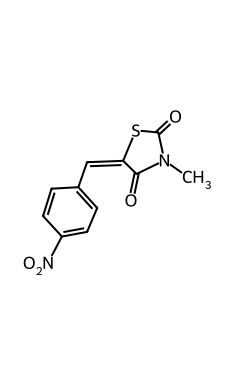 CN1C(=O)S/C(=C/c2ccc([N+](=O)[O-])cc2)C1=O